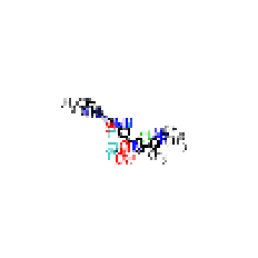 Cc1nc2c(Cl)c(-c3cccn4c(C(=O)c5cc(F)c(NC(=O)/C=C/CNC6CCC6(C)C)c(F)c5)ccc34)c(C(F)(F)F)cc2n1C.O=C(O)C(F)(F)F